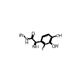 CC(C)NC(=O)C(=N)c1ccc(O)c(O)c1F